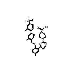 Cc1ccc(OCc2ccc(-c3ccc(C(F)(F)F)cc3C)cc2C)c(-c2ccnc(N3CCC(C(=O)O)CC3)n2)c1